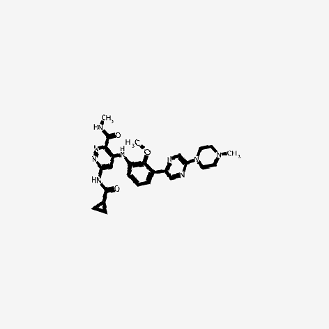 CNC(=O)c1nnc(NC(=O)C2CC2)cc1Nc1cccc(-c2cnc(N3CCN(C)CC3)cn2)c1OC